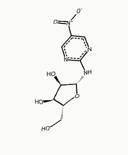 O=[N+]([O-])c1cnc(N[C@@H]2O[C@H](CO)[C@@H](O)[C@H]2O)nc1